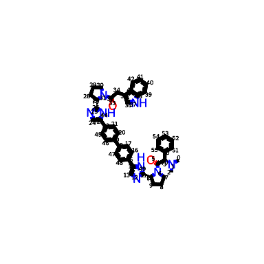 CN(C)[C@@H](C(=O)N1CCC[C@H]1c1ncc(-c2ccc(-c3ccc(-c4cnc([C@@H]5CCCN5C(=O)Cc5c[nH]c6ccccc56)[nH]4)cc3)cc2)[nH]1)c1ccccc1